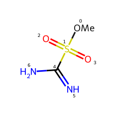 COS(=O)(=O)C(=N)N